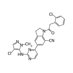 Cn1ncc(Cl)c1Nc1nccc(-c2cc(C#N)c3c(c2)CCN3C(=O)Cc2ccccc2Cl)n1